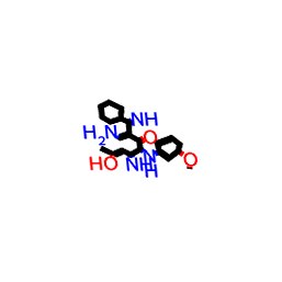 COC1C=C(NC(C(=N)/C=C(/C)O)C(=O)/C(=C/N)C(=N)C2CCCCC2)C=CC1